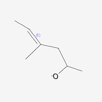 C/C=C(\C)CC(C)[O]